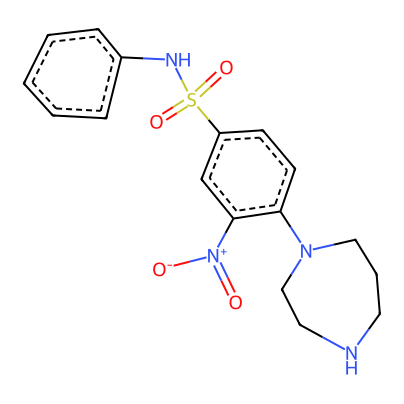 O=[N+]([O-])c1cc(S(=O)(=O)Nc2ccccc2)ccc1N1CCCNCC1